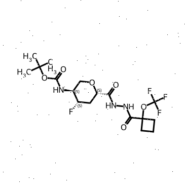 CC(C)(C)OC(=O)N[C@H]1CO[C@H](C(=O)NNC(=O)C2(OC(F)(F)F)CCC2)C[C@@H]1F